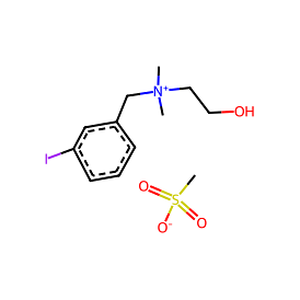 CS(=O)(=O)[O-].C[N+](C)(CCO)Cc1cccc(I)c1